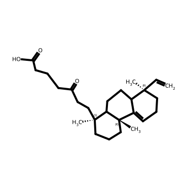 C=C[C@@]1(C)CCC=C2C1CCC1[C@](C)(CCC(=O)CCCC(=O)O)CCC[C@@]21C